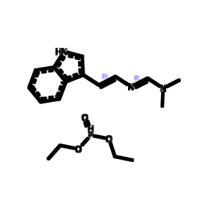 CCO[PH](=O)OCC.CN(C)/C=N/C=C/c1c[nH]c2ccccc12